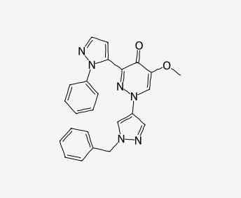 COc1cn(-c2cnn(Cc3ccccc3)c2)nc(-c2ccnn2-c2ccccc2)c1=O